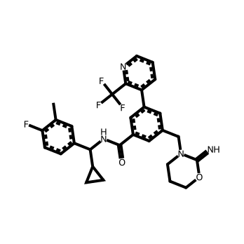 Cc1cc(C(NC(=O)c2cc(CN3CCCOC3=N)cc(-c3cccnc3C(F)(F)F)c2)C2CC2)ccc1F